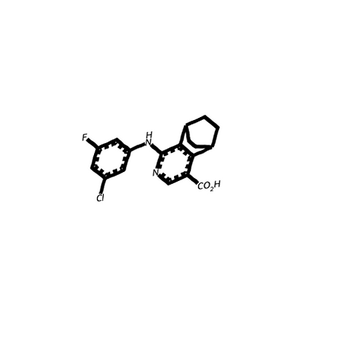 O=C(O)c1cnc(Nc2cc(F)cc(Cl)c2)c2c1C1CCC2CC1